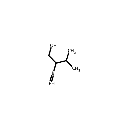 CC(C)C(B=P)CO